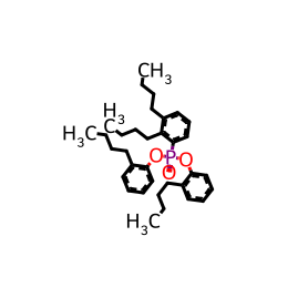 CCCCc1ccccc1OP(=O)(Oc1ccccc1CCCC)c1cccc(CCCC)c1CCCC